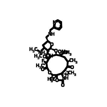 CC[C@H]1OC(=O)[C@@](C)(F)C(=O)[C@H](C)[C@@H](O[C@@H]2O[C@H](CNCc3ccccn3)CC(N(C)C)C2O)[C@](C)(OC)C[C@@H](C)C(=O)[C@H](C)[C@H]2NC(=O)O[C@@]21C